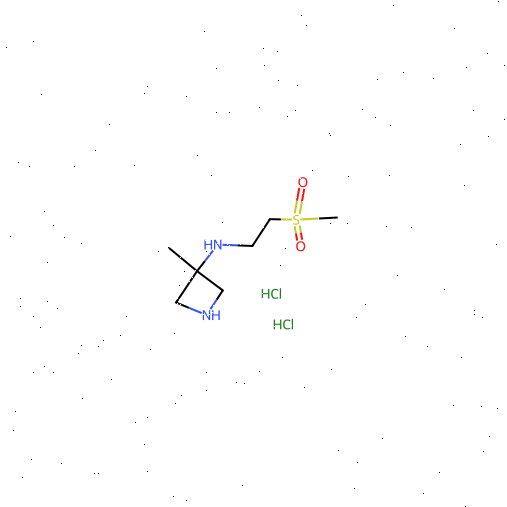 CC1(NCCS(C)(=O)=O)CNC1.Cl.Cl